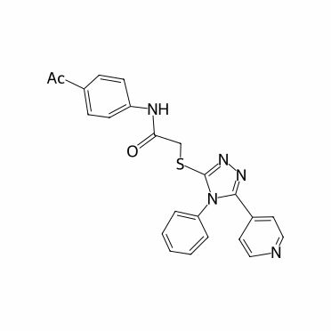 CC(=O)c1ccc(NC(=O)CSc2nnc(-c3ccncc3)n2-c2ccccc2)cc1